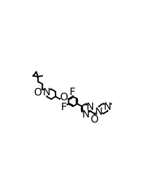 CN1CCN(C(=O)c2ncc(-c3cc(F)c(OCC4CCN(C(=O)CCC5(C)CC5)CC4)c(F)c3)cn2)CC1